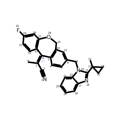 C/C(C#N)=C1/c2ccc(Cn3c(C4(C)CC4)nc4ccccc43)cc2COc2cc(F)ccc21